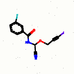 N#CC(NC(=O)c1cccc(F)c1)OCC#CI